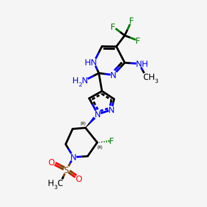 CNC1=NC(N)(c2cnn([C@@H]3CCN(S(C)(=O)=O)C[C@H]3F)c2)NC=C1C(F)(F)F